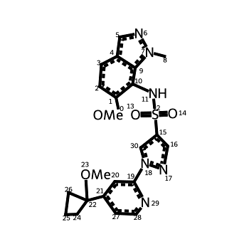 COc1ccc2cnn(C)c2c1NS(=O)(=O)c1cnn(-c2cc(C3(OC)CCC3)ccn2)c1